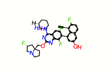 C#Cc1c(F)ccc2cc(O)cc(-c3c(F)cc4c(N5C[C@@H]6CCC5CN6)nc(OC[C@@]56CCCN5C[C@H](F)C6)nc4c3F)c12